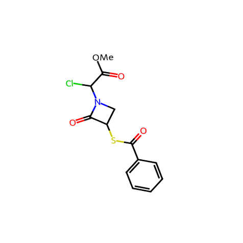 COC(=O)C(Cl)N1CC(SC(=O)c2ccccc2)C1=O